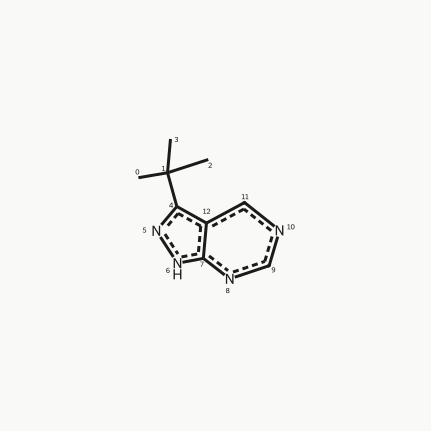 CC(C)(C)c1n[nH]c2ncncc12